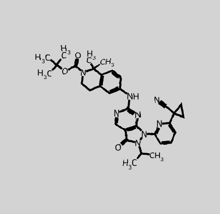 CC(C)n1c(=O)c2cnc(Nc3ccc4c(c3)CCN(C(=O)OC(C)(C)C)C4(C)C)nc2n1-c1cccc(C2(C#N)CC2)n1